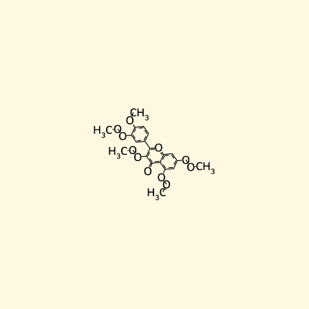 COOc1cc(OOC)c2c(=O)c(OOC)c(-c3ccc(OC)c(OOC)c3)oc2c1